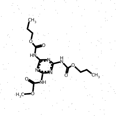 CCCOC(=O)Nc1nc(NC(=O)OC)nc(NC(=O)OCCC)n1